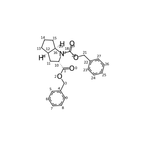 O=C(OCc1ccccc1)[C@@H]1C[C@H]2CCC[C@H]2N1C(=O)OCc1ccccc1